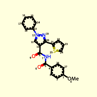 COc1ccc(C(=O)NC(=O)c2cn(-c3ccccc3)nc2-c2cccs2)cc1